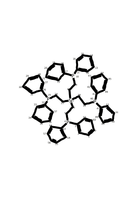 c1ccc(P(CC[Si](CCP(c2ccccc2)c2ccccc2)(CCP(c2ccccc2)c2ccccc2)CCP(c2ccccc2)c2ccccc2)c2ccccc2)cc1